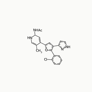 CC(=O)NC1C=C(c2cc(-c3cc[nH]n3)c(-c3ccccc3Cl)o2)C(C)=CN1